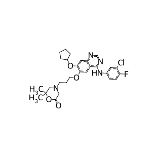 CC1(C)CN(CCCOc2cc3c(Nc4ccc(F)c(Cl)c4)ncnc3cc2OC2CCCC2)CC(=O)O1